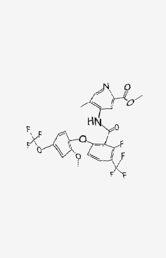 COC(=O)c1cc(NC(=O)c2c(Oc3ccc(OC(F)(F)F)cc3OC)ccc(C(F)(F)F)c2F)c(C)cn1